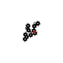 c1ccc(-c2ccc(-c3cc4ccccc4c4ccccc34)cc2N(c2cccc(-c3ccc4oc5ccccc5c4c3)c2)c2ccc3oc4ccccc4c3c2)cc1